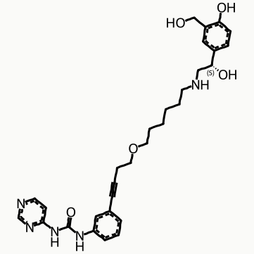 O=C(Nc1cccc(C#CCCOCCCCCCNC[C@@H](O)c2ccc(O)c(CO)c2)c1)Nc1ccncn1